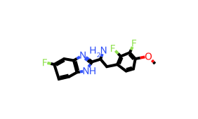 COc1ccc(CC(N)c2nc3cc(F)ccc3[nH]2)c(F)c1F